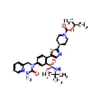 CC(C)OC(=O)N1CCC(c2ncc(-c3ccc(N(Cc4ccccn4)C(N)=O)cc3S(=O)(=O)NC(C)(C)C)s2)CC1